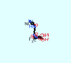 C[N+](C)(C)c1ccc(C(=O)NCCCCCCn2c(=O)c(C(F)(F)F)cn([C@H]3C[C@H](O)[C@@H](CO)O3)c2=O)cc1C#N